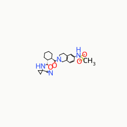 CS(=O)(=O)Nc1ccc2c(c1)CCN(C(=O)[C@@H]1CCCC[C@H]1C(=O)NC1(C#N)CC1)C2